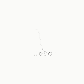 CCCCCCCCCCCCCCCCCCCCCCC#CC1=C(c2ccc(CCCC)cc2)[N+](=[N-])C(c2cccc(CCCC)c2)=C1.[CH3][Pd][CH3]